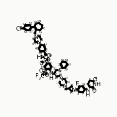 O=C1CCC(Nc2ccc(N3CC(CN4CCN(CC[C@H](CSc5ccccc5)Nc5ccc(S(=O)(=O)NC(=O)c6ccc(N7CCN(CC8=C(c9ccc(Cl)cc9)CCCCC8)CC7)cc6)cc5S(=O)(=O)C(F)(F)F)CC4)C3)c(F)c2)C(=O)N1